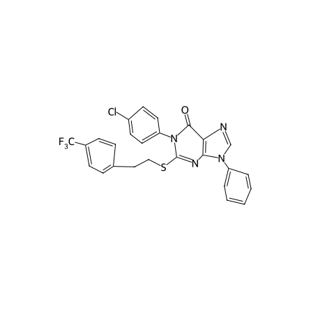 O=c1c2ncn(-c3ccccc3)c2nc(SCCc2ccc(C(F)(F)F)cc2)n1-c1ccc(Cl)cc1